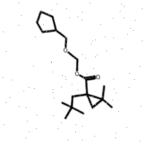 CC(C)(C)CC1(C(=O)OCOCC2CCCC2)CC1(C)C